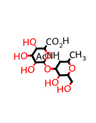 CC(=O)N[C@@H]1C(C)OC(CO)[C@@H](O)C1O[C@@H]1OC(C(=O)O)[C@@H](O)C(O)[C@@H]1O